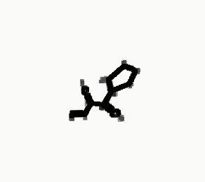 C=CC(=O)C(=O)C1CCCC1